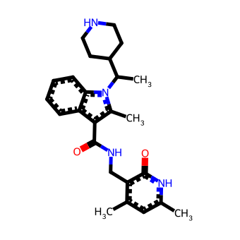 Cc1cc(C)c(CNC(=O)c2c(C)n(C(C)C3CCNCC3)c3ccccc23)c(=O)[nH]1